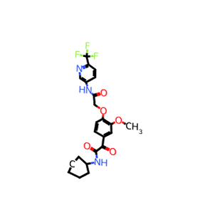 COc1cc(C(=O)C(=O)NC2CCCCC2)ccc1OCC(=O)Nc1ccc(C(F)(F)F)nc1